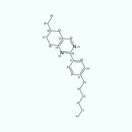 CCCCCCc1ccc(-c2ncc3c(n2)CCC(CC)C3)cc1